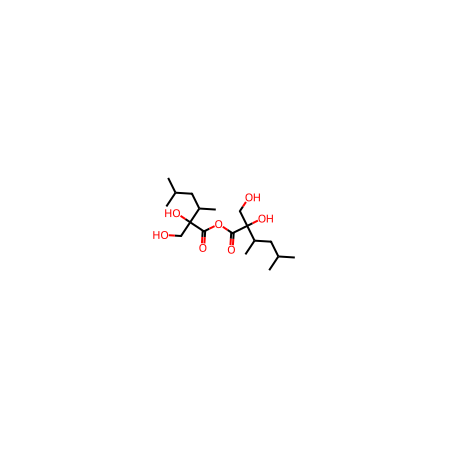 CC(C)CC(C)C(O)(CO)C(=O)OC(=O)C(O)(CO)C(C)CC(C)C